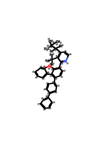 [2H]C([2H])([2H])c1c(C([2H])([2H])C(C)(C)C)ccnc1-c1ccc(-c2ccc(-c3ccccc3)cc2)c2c1oc1ccccc12